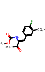 COC(=O)C(=Cc1ccc(F)c(C(=O)O)c1)NC(=O)OC(C)(C)C